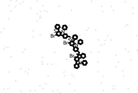 CC1(Cc2ccc3c4cc(Br)c5c(c4n(-c4ccccc4)c3c2)-c2ccccc2[Si]5(C)Cc2ccc3c4cc(Br)c5sc6ccccc6c5c4n(-c4ccccc4)c3c2)C2=C(CCC=C2)c2c1c(Br)cc1c3ccccc3n(-c3ccccc3)c21